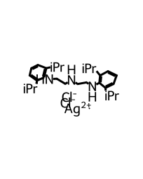 CC(C)c1cccc(C(C)C)c1NCCNCCNc1c(C(C)C)cccc1C(C)C.[Ag+2].[Cl-].[Cl-]